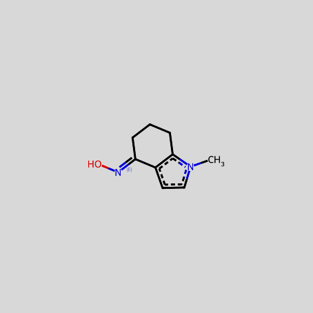 Cn1ccc2c1CCC/C2=N\O